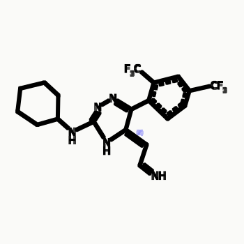 N=C/C=C1\NC(NC2CCCCC2)=NN=C1c1ccc(C(F)(F)F)cc1C(F)(F)F